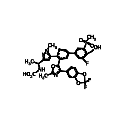 Cc1nc(-c2ccc3c(c2)OC(F)(F)O3)c(-c2cc(-c3cc(F)c(CO)c(S(C)(=O)=O)c3)ccc2-c2cc(C(C)NC(=O)O)nn2C)o1